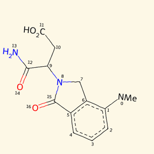 CNc1cccc2c1CN(C(CC(=O)O)C(N)=O)C2=O